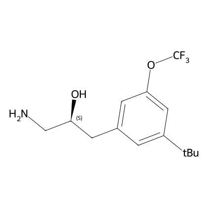 CC(C)(C)c1cc(C[C@H](O)CN)cc(OC(F)(F)F)c1